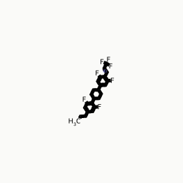 CCCc1cc(F)c(C2CCC(c3cc(F)c(/C=C/C(F)(F)F)c(F)c3)CC2)c(F)c1